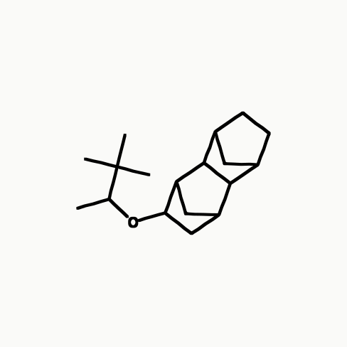 CC(OC1CC2CC1C1C3CCC(C3)C21)C(C)(C)C